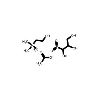 CC(=O)[O-].C[N+](C)(C)CCO.O=P(=O)C(O)C(O)CO